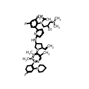 C=CC1CC(Nc2cccc(-c3cc(F)cc(C)c3N(CC(CC)CN(C)C)C(=C)C)n2)CN1c1c(C)cnn(C2=C(N3CCCCC3)C=C(F)CC2)n(C)n1C